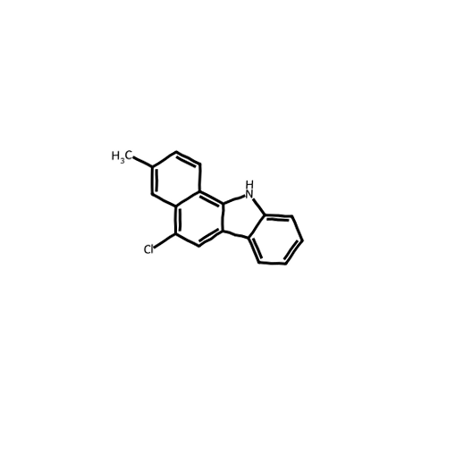 Cc1ccc2c(c1)c(Cl)cc1c3ccccc3[nH]c21